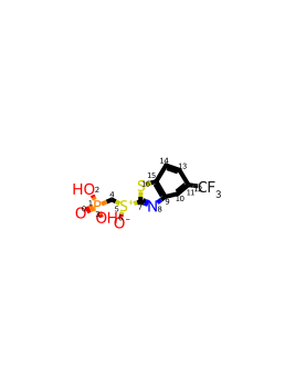 O=P(O)(O)C[S+]([O-])c1nc2cc(C(F)(F)F)ccc2s1